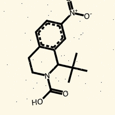 CC(C)(C)C1c2cc([N+](=O)[O-])ccc2CCN1C(=O)O